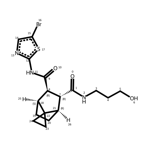 O=C(NCCCO)[C@H]1[C@H](C(=O)Nc2ncc(Br)s2)[C@@H]2CC[C@H]1C21CC1